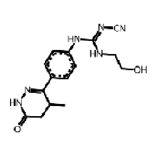 CC1CC(=O)NN=C1c1ccc(NC(=NC#N)NCCO)cc1